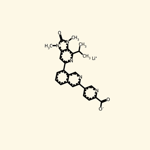 CC(C)c1nc(-c2cccc3cc(-c4ccc(C(=O)[O-])nc4)ncc23)cc2c1n(C)c(=O)n2C.[Li+]